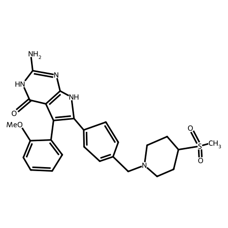 COc1ccccc1-c1c(-c2ccc(CN3CCC(S(C)(=O)=O)CC3)cc2)[nH]c2nc(N)[nH]c(=O)c12